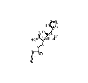 CO[C@H](C(=O)N[C@@H](CCC(=O)C=[N+]=[N-])C(=O)O)c1cnc[nH]1